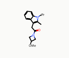 COC1CN(C(=O)Cc2c(C)n(C(C)C)c3ccccc23)C1